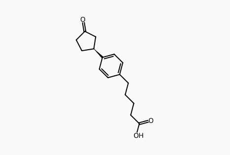 O=C(O)CCCCc1ccc([C@H]2CCC(=O)C2)cc1